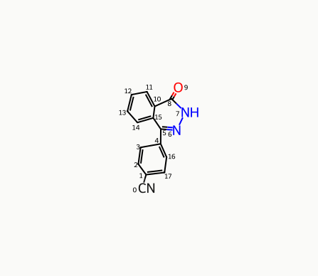 N#Cc1ccc(-c2n[nH]c(=O)c3ccccc23)cc1